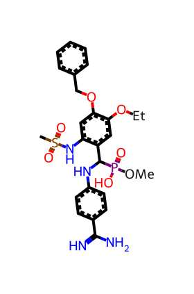 CCOc1cc(C(Nc2ccc(C(=N)N)cc2)P(=O)(O)OC)c(NS(C)(=O)=O)cc1OCc1ccccc1